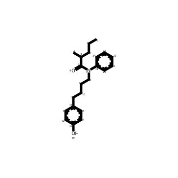 CCCC(C)C(=O)N(CCCCc1ccc(O)cc1)c1ccccc1